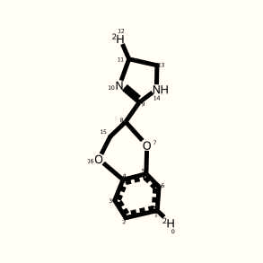 [2H]c1ccc2c(c1)OC(C1=NC([2H])CN1)CO2